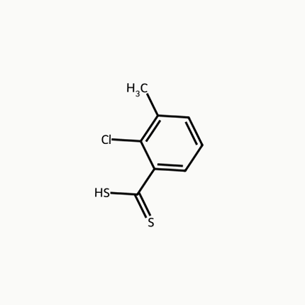 Cc1cccc(C(=S)S)c1Cl